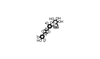 COc1cc(C2OC[C@@H]3C(c4cc(CO)c(OC5OC(CO)C(O)C(O)C5O)c(OC)c4)OC[C@H]23)cc(OC)c1O